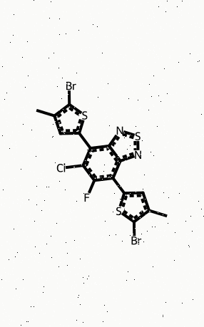 Cc1cc(-c2c(F)c(Cl)c(-c3cc(C)c(Br)s3)c3nsnc23)sc1Br